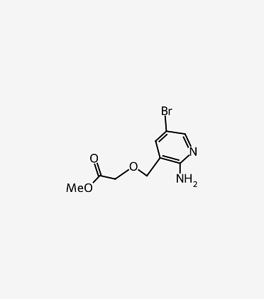 COC(=O)COCc1cc(Br)cnc1N